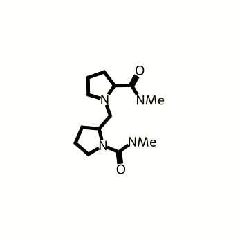 CNC(=O)C1CCCN1CC1CCCN1C(=O)NC